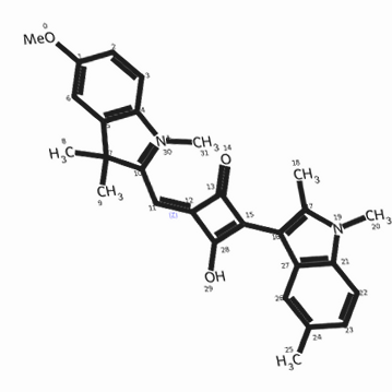 COc1ccc2c(c1)C(C)(C)C(/C=C1\C(=O)C(c3c(C)n(C)c4ccc(C)cc34)=C1O)=[N+]2C